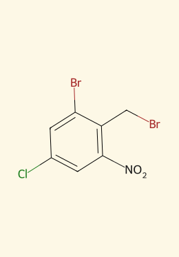 O=[N+]([O-])c1cc(Cl)cc(Br)c1CBr